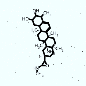 CNC1OC1[C@]1(I)CC[C@]2(C)CC[C@]3(C)C4=CC=C5C(C)C(O)C(O)CC5[C@]4(C)CC[C@@]3(C)[C@]2(N)C1